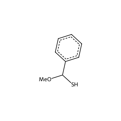 COC(S)c1ccccc1